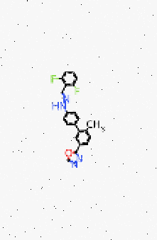 Cc1ccc(-c2nnco2)cc1-c1ccc(NN=Cc2c(F)cccc2F)cc1